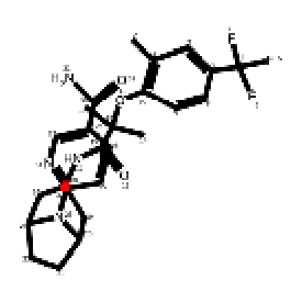 Cc1cc(C(F)(F)F)ccc1OC(C)(C)C(=O)NC1CC2CCC(C1)N2c1ccc(C(N)=O)cn1